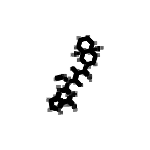 C=NN(/C(C)=C(\C)C(=O)N1CC[C@H]2CCCC[C@@H]2C1)c1nc2ccsc2c(=O)[nH]1